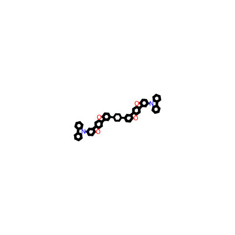 c1ccc2c(c1)c1ccccc1n2-c1ccc2oc3cc4c(cc3c2c1)oc1ccc(C2CCC(c3ccc5oc6cc7c(cc6c5c3)oc3ccc(-n5c6ccccc6c6ccccc65)cc37)CC2)cc14